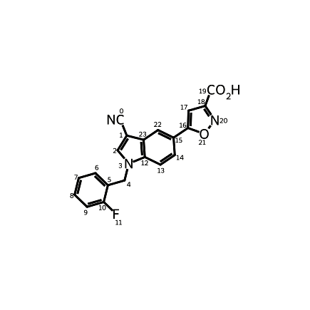 N#Cc1cn(Cc2ccccc2F)c2ccc(-c3cc(C(=O)O)no3)cc12